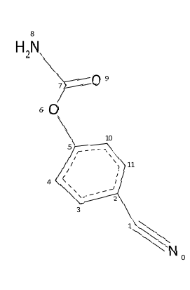 N#Cc1ccc(OC(N)=O)cc1